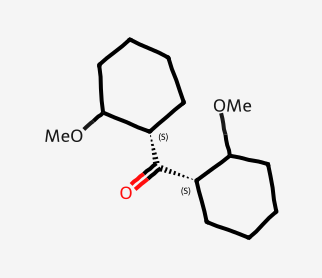 COC1CCCC[C@@H]1C(=O)[C@H]1CCCCC1OC